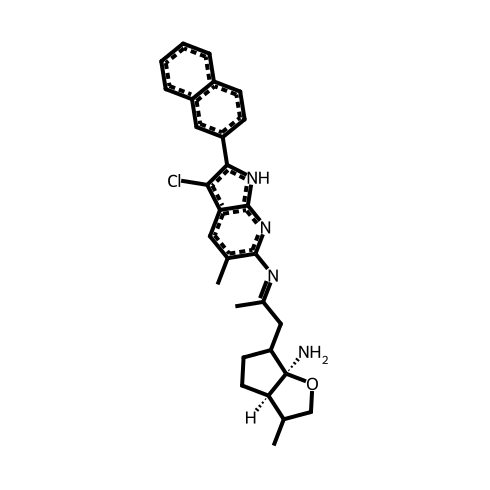 C/C(CC1CC[C@@H]2C(C)CO[C@]12N)=N\c1nc2[nH]c(-c3ccc4ccccc4c3)c(Cl)c2cc1C